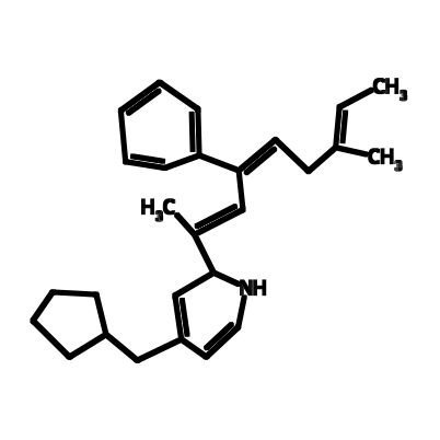 CC=C(C)C/C=C(\C=C(/C)C1C=C(CC2CCCC2)C=CN1)c1ccccc1